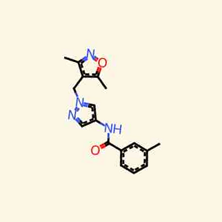 Cc1cccc(C(=O)Nc2cnn(Cc3c(C)noc3C)c2)c1